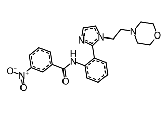 O=C(Nc1ccccc1-c1nccn1CCN1CCOCC1)c1cccc([N+](=O)[O-])c1